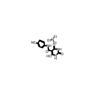 CCN(CC)CC.N#Cc1ccc(NC(=O)c2c(O)[nH]c(=O)[nH]c2=O)cc1